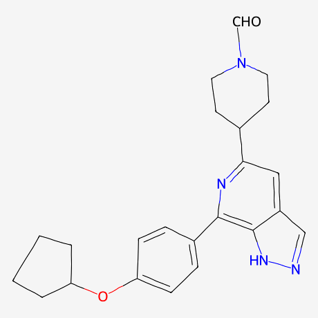 O=CN1CCC(c2cc3cn[nH]c3c(-c3ccc(OC4CCCC4)cc3)n2)CC1